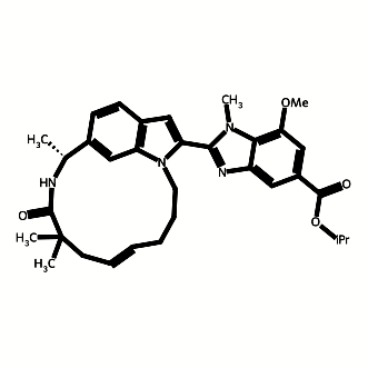 COc1cc(C(=O)OC(C)C)cc2nc(-c3cc4ccc5cc4n3CCC/C=C/CC(C)(C)C(=O)N[C@@H]5C)n(C)c12